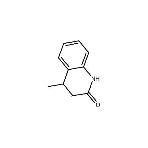 CC1[C]C(=O)Nc2ccccc21